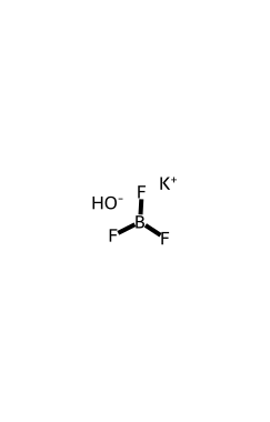 FB(F)F.[K+].[OH-]